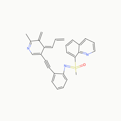 C=C/C=c1/c(C#Cc2ccccc2N=S(C)(=O)c2cccc3cccnc23)cnc(C)c1=C